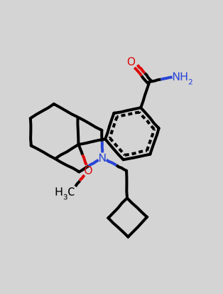 COC1(c2cccc(C(N)=O)c2)C2CCCC1CN(CC1CCC1)C2